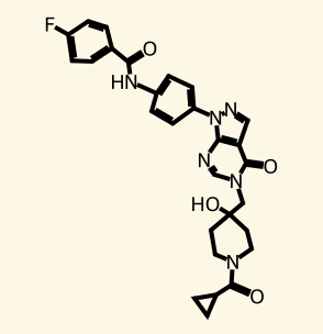 O=C(Nc1ccc(-n2ncc3c(=O)n(CC4(O)CCN(C(=O)C5CC5)CC4)cnc32)cc1)c1ccc(F)cc1